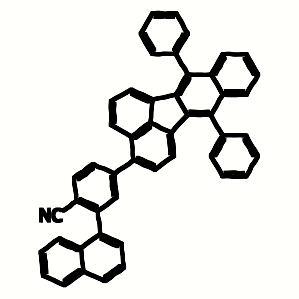 N#Cc1ccc(-c2ccc3c4c(cccc24)-c2c-3c(-c3ccccc3)c3ccccc3c2-c2ccccc2)cc1-c1cccc2ccccc12